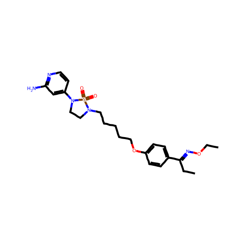 CCON=C(CC)c1ccc(OCCCCCN2CCN(c3ccnc(N)c3)S2(=O)=O)cc1